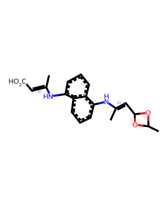 C/C(=C\C(=O)O)Nc1cccc2c(N/C(C)=C/C3OC(C)O3)cccc12